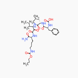 C=CCOC(=O)NCCCC[C@H](NC(=O)C(=O)C(NC(=O)[C@H](CC(C)C)NC(=O)[C@H](Cc1ccccc1)NC(=O)O)[C@@H](C)CC)C(N)=O